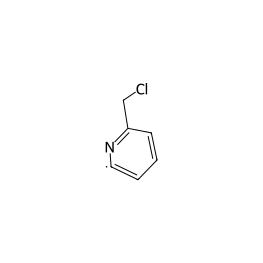 ClCc1ccc[c]n1